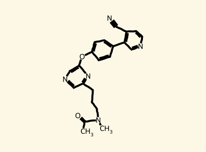 CC(=O)N(C)CCCc1cncc(Oc2ccc(-c3cnccc3C#N)cc2)n1